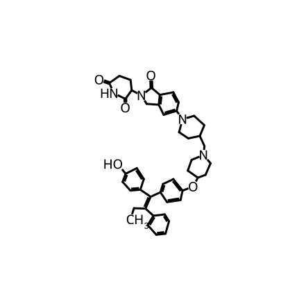 CC/C(=C(\c1ccc(O)cc1)c1ccc(OC2CCN(CC3CCN(c4ccc5c(c4)CN(C4CCC(=O)NC4=O)C5=O)CC3)CC2)cc1)c1ccccc1